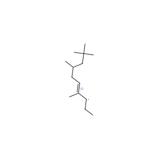 CC[CH]/C(C)=C/CC(C)CC(C)(C)C